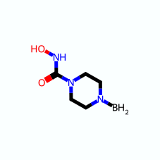 BN1CCN(C(=O)NO)CC1